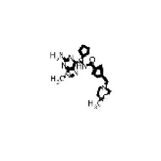 CN1CCN(Cc2ccc(C(=O)NN(c3nc(N)nc4c3ncn4C)C3CCCC3)cc2)CC1